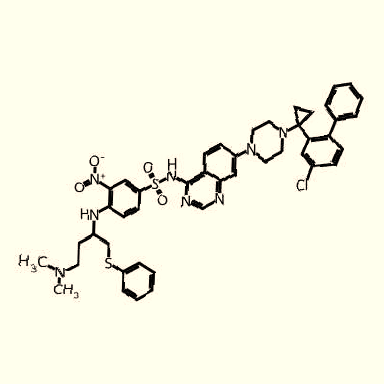 CN(C)CCC(CSc1ccccc1)Nc1ccc(S(=O)(=O)Nc2ncnc3cc(N4CCN(C5(c6cc(Cl)ccc6-c6ccccc6)CC5)CC4)ccc23)cc1[N+](=O)[O-]